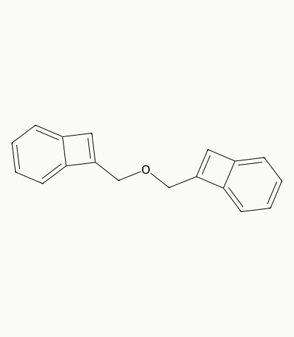 C1=C(COCC2=Cc3ccccc32)c2ccccc21